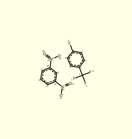 Fc1ccc(C(F)(F)F)cc1.O=[N+]([O-])c1cccc([N+](=O)[O-])c1